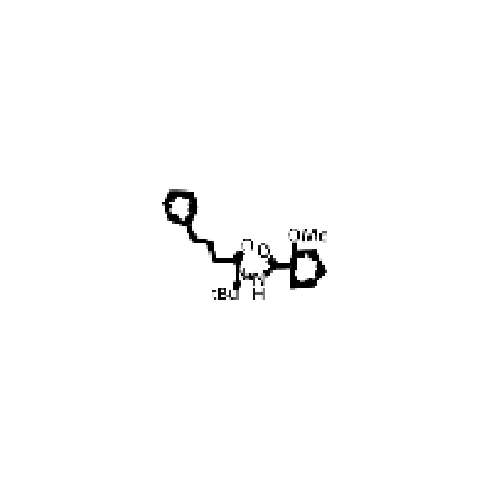 COc1ccccc1C(=O)NN(C(=O)CCCc1ccccc1)C(C)(C)C